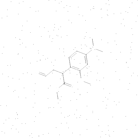 COC(=O)C(CC=O)c1ccc(N(C)C)cc1OC